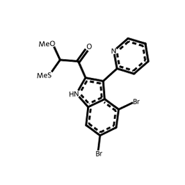 COC(SC)C(=O)c1[nH]c2cc(Br)cc(Br)c2c1-c1ccccn1